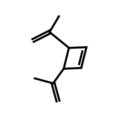 C=C(C)C1C=CC1C(=C)C